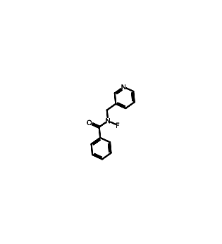 O=C(c1ccccc1)N(F)Cc1cccnc1